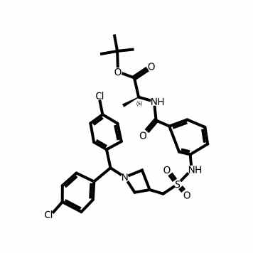 C[C@H](NC(=O)c1cccc(NS(=O)(=O)CC2CN(C(c3ccc(Cl)cc3)c3ccc(Cl)cc3)C2)c1)C(=O)OC(C)(C)C